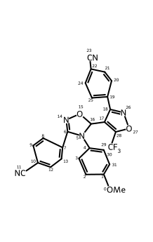 COc1ccc(N2C(c3ccc(C#N)cc3)=NOC2c2c(-c3ccc(C#N)cc3)noc2C(F)(F)F)cc1